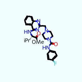 COC(=O)[C@@H](Nc1nc(CN2CCN(C(=O)Nc3ccc(F)cc3)CC2)nc2ccccc12)C(C)C